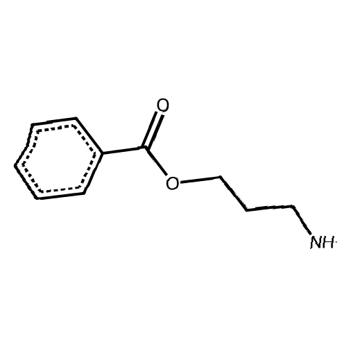 [NH]CCCOC(=O)c1ccccc1